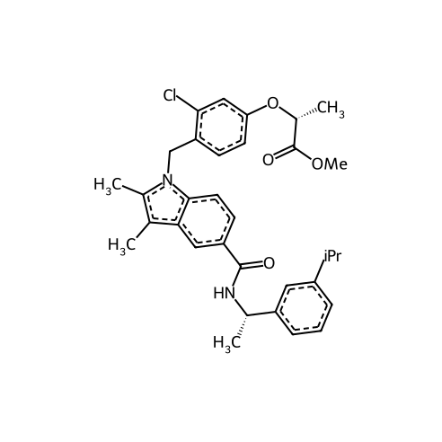 COC(=O)[C@@H](C)Oc1ccc(Cn2c(C)c(C)c3cc(C(=O)N[C@@H](C)c4cccc(C(C)C)c4)ccc32)c(Cl)c1